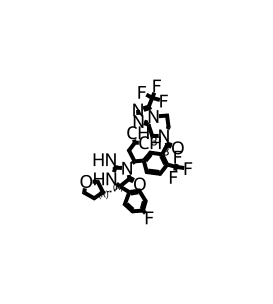 CC(C)CC(c1ccc(C(F)(F)F)c(C(=O)N2CCn3c(nnc3C(F)(F)F)C2)c1)N1C(=N)N[C@](C[C@@H]2CCOC2)(c2ccc(F)cc2)C1=O